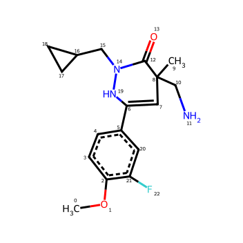 COc1ccc(C2=CC(C)(CN)C(=O)N(CC3CC3)N2)cc1F